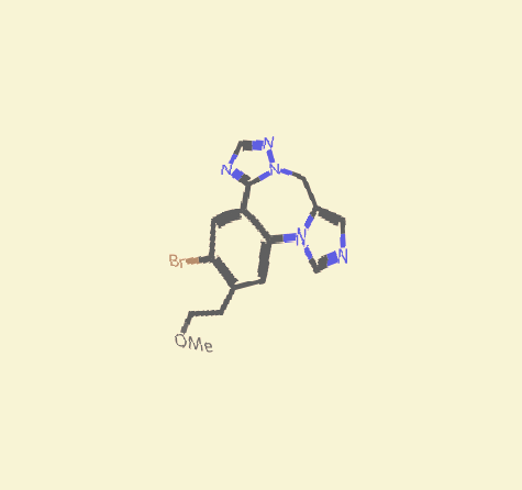 COCCc1cc2c(cc1Br)-c1ncnn1Cc1cncn1-2